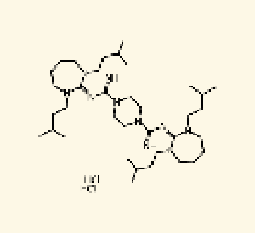 CC(C)CCN1CCCCN(CCC(C)C)C1=NC(=N)N1CCN(C(=N)N=C2N(CCC(C)C)CCCCN2CCC(C)C)CC1.Cl.Cl